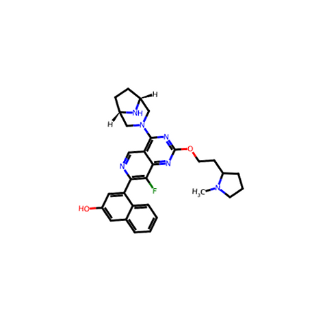 CN1CCCC1CCOc1nc(N2C[C@H]3CC[C@@H](C2)N3)c2cnc(-c3cc(O)cc4ccccc34)c(F)c2n1